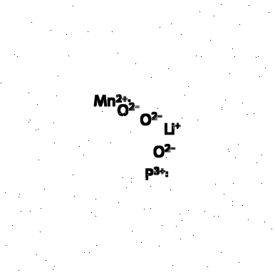 [Li+].[Mn+2].[O-2].[O-2].[O-2].[P+3]